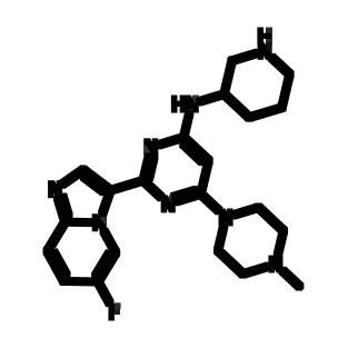 CN1CCN(c2cc(NC3CCCNC3)nc(-c3cnc4ccc(F)cn34)n2)CC1